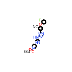 CC(C)(C)OC(=O)N1CCC(n2cc(Nc3ncnc(-c4ccc(O[C@H]5CCCC[C@H]5F)c(C#N)c4)n3)cn2)CC1